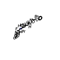 CC(C)c1nc(N(C)S(C)(=O)=O)nc(F)c1/C=C/[C@H](O)C[C@@H](O)CC(=O)NC1=NCC(COc2ccccc2Br)O1